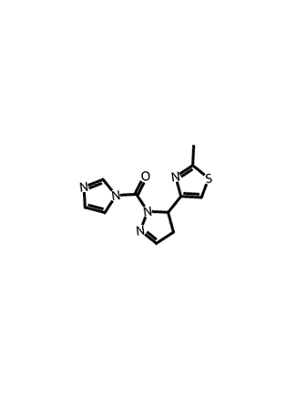 Cc1nc(C2CC=NN2C(=O)n2ccnc2)cs1